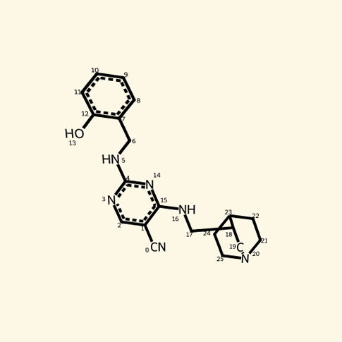 N#Cc1cnc(NCc2ccccc2O)nc1NCC1CN2CCC1CC2